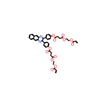 C=CC(=O)OCCOC(=O)CCC(=O)Oc1ccc(-c2nc3cc4ccccc4cc3nc2-c2ccc(OC(=O)CCC(=O)OCCOC(=O)C=C)cc2)cc1